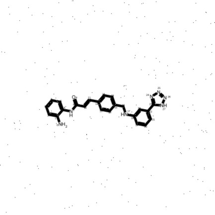 Nc1ccccc1NC(=O)/C=C/c1ccc(CNc2cccc(-c3nnn[nH]3)c2)cc1